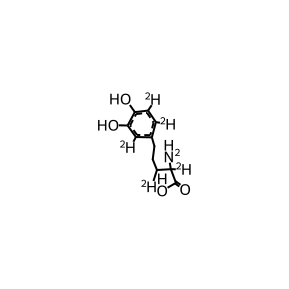 [2H]c1c([2H])c(CCC([2H])C([2H])(N)C(=O)O)c([2H])c(O)c1O